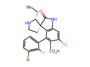 CC(C)(C)C[C@H]1NCC[C@@]12C(=O)Nc1cc(Cl)c(C(=O)O)c(-c3cccc(Br)c3F)c12